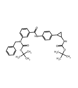 CC(C)(C)OC(=O)NC1CC1c1ccc(NC(=O)c2cccc(N(Cc3ccccc3)C(=O)OC(C)(C)C)c2)cc1